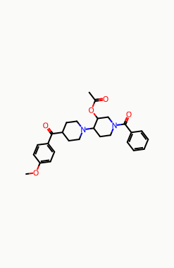 COc1ccc(C(=O)C2CCN(C3CCN(C(=O)c4ccccc4)CC3OC(C)=O)CC2)cc1